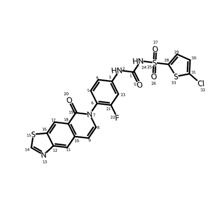 O=C(Nc1ccc(-n2ccc3cc4ncsc4cc3c2=O)c(F)c1)NS(=O)(=O)c1ccc(Cl)s1